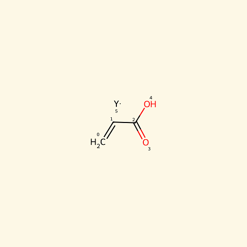 C=CC(=O)O.[Y]